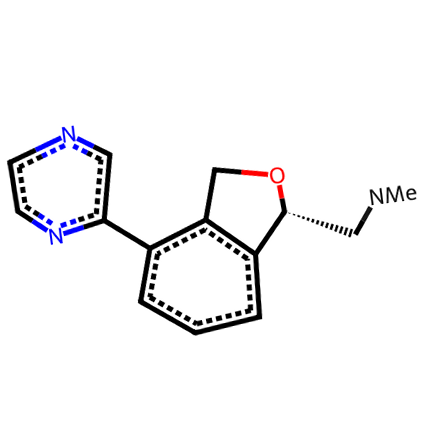 CNC[C@H]1OCc2c(-c3cnccn3)cccc21